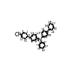 Clc1ccc(-c2ccc(N(c3ccccc3)c3ccc(-c4ccccc4)cc3)cc2)cc1